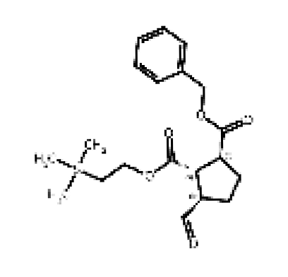 C[Si](C)(C)CCOC(=O)[C@H]1[C@H](C=O)CC[C@@H]1C(=O)OCc1ccccc1